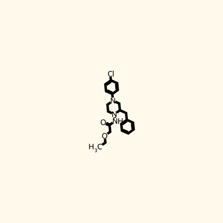 CCOCC(=O)NN1CCN(c2ccc(Cl)cc2)CC1Cc1ccccc1